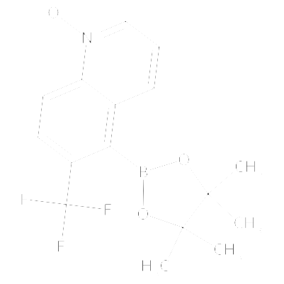 CC1(C)OB(c2c(C(F)(F)F)ccc3c2ccc[n+]3[O-])OC1(C)C